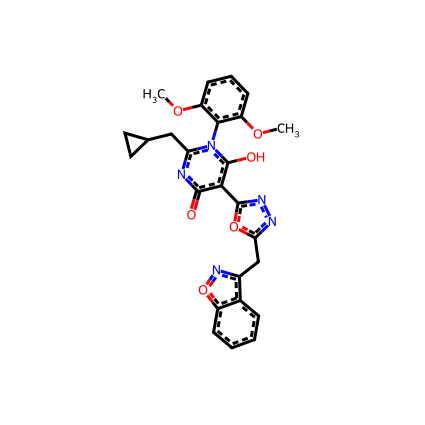 COc1cccc(OC)c1-n1c(CC2CC2)nc(=O)c(-c2nnc(Cc3noc4ccccc34)o2)c1O